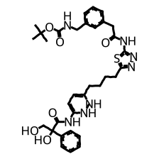 CC(C)(C)OC(=O)NCc1cccc(CC(=O)Nc2nnc(CCCCC3=CC=C(NC(=O)C(O)(CO)c4ccccc4)NN3)s2)c1